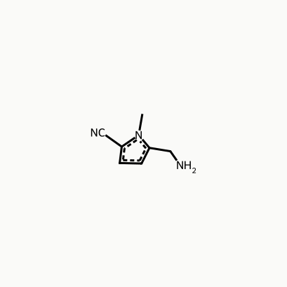 Cn1c(C#N)ccc1CN